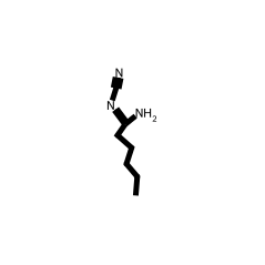 CCCCC/C(N)=N/C#N